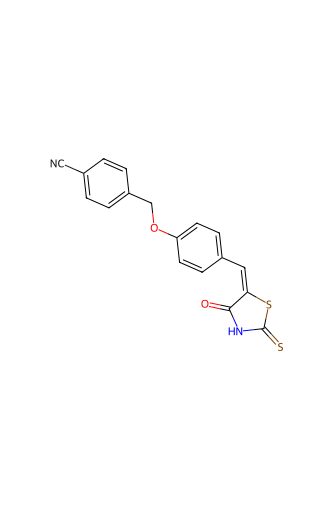 N#Cc1ccc(COc2ccc(C=C3SC(=S)NC3=O)cc2)cc1